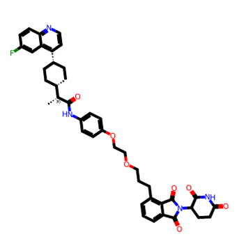 C[C@@H](C(=O)Nc1ccc(OCCOCCCc2cccc3c2C(=O)N(C2CCC(=O)NC2=O)C3=O)cc1)[C@H]1CC[C@@H](c2ccnc3ccc(F)cc32)CC1